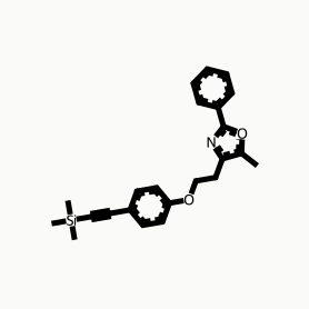 Cc1oc(-c2ccccc2)nc1CCOc1ccc(C#C[Si](C)(C)C)cc1